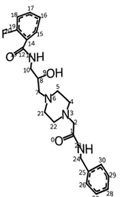 O=C(CN1CCN(CC(O)CNC(=O)c2ccccc2F)CC1)NCc1ccccc1